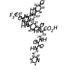 O=C(NCCc1cccnc1)C(=O)NCC[C@H](NC(=O)c1ccc(Nc2nc(NC3(c4ccc(Cl)cc4)CC3)nc(OCC(F)(F)F)n2)cc1)C(=O)O